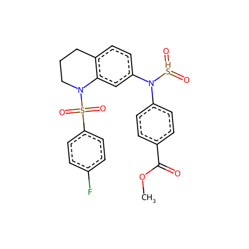 COC(=O)c1ccc(N(c2ccc3c(c2)N(S(=O)(=O)c2ccc(F)cc2)CCC3)[SH](=O)=O)cc1